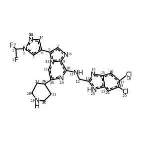 FC(F)n1cc(-c2cnc3c(NCc4nc5cc(Cl)c(Cl)cc5[nH]4)nc(C4CCNCC4)cn23)cn1